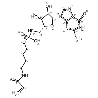 C=CC(=O)NCCCCOP(=O)(O)PC[C@H]1O[C@@H](n2cnc3c(=O)[nH]c(N)nc32)[C@H](O)[C@@H]1O